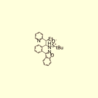 CC[C@H](c1ccccn1)C(N[S+]([O-])C(C)(C)C)c1ccccc1-c1noc2ccccc12